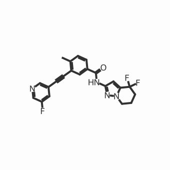 Cc1ccc(C(=O)Nc2cc3n(n2)CCCC3(F)F)cc1C#Cc1cncc(F)c1